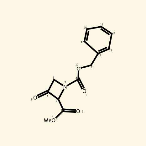 COC(=O)C1C(=O)CN1C(=O)OCc1ccccc1